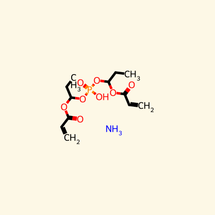 C=CC(=O)OC(CC)OP(=O)(O)OC(CC)OC(=O)C=C.N